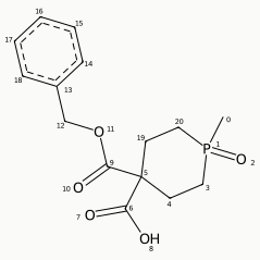 CP1(=O)CCC(C(=O)O)(C(=O)OCc2ccccc2)CC1